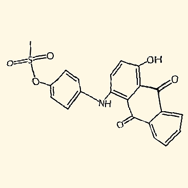 CS(=O)(=O)Oc1ccc(Nc2ccc(O)c3c2C(=O)c2ccccc2C3=O)cc1